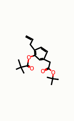 C=CCc1ccc(CC(=O)OC(C)(C)C)cc1OC(=O)C(C)(C)C